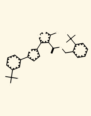 Nc1onc(-c2ccc(-c3cccc(C(F)(F)F)c3)o2)c1C(=O)NCc1ccccc1C(F)(F)F